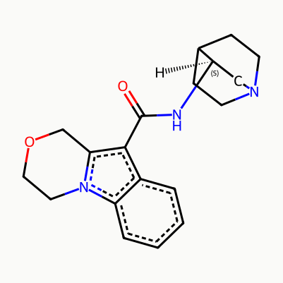 O=C(N[C@@H]1CN2CCC1CC2)c1c2n(c3ccccc13)CCOC2